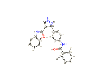 Cc1ccc2nc(-c3c[nH]nc3-c3ccc(NC(=O)c4c(C)cccc4C)cc3)oc2c1